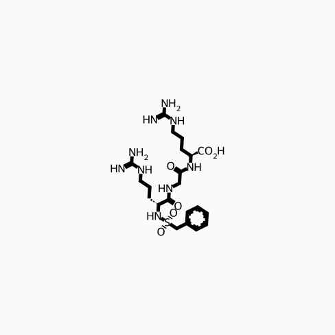 N=C(N)NCCC[C@H](NC(=O)CNC(=O)[C@@H](CCCNC(=N)N)NS(=O)(=O)Cc1ccccc1)C(=O)O